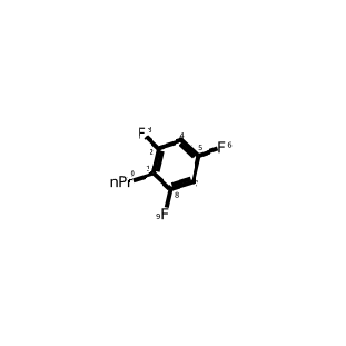 C[CH]Cc1c(F)cc(F)cc1F